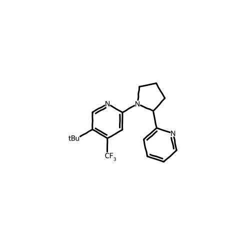 CC(C)(C)c1cnc(N2CCCC2c2ccccn2)cc1C(F)(F)F